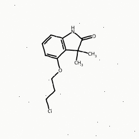 CC1(C)C(=O)Nc2cccc(OCCCCl)c21